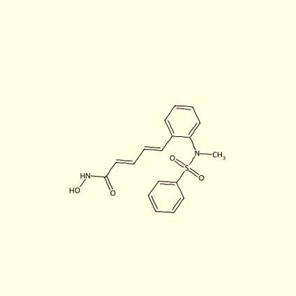 CN(c1ccccc1C=CC=CC(=O)NO)S(=O)(=O)c1ccccc1